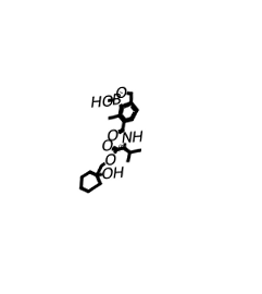 Cc1c(C(=O)N[C@H](C(=O)OCC2(O)CCCCC2)C(C)C)ccc2c1B(O)OC2